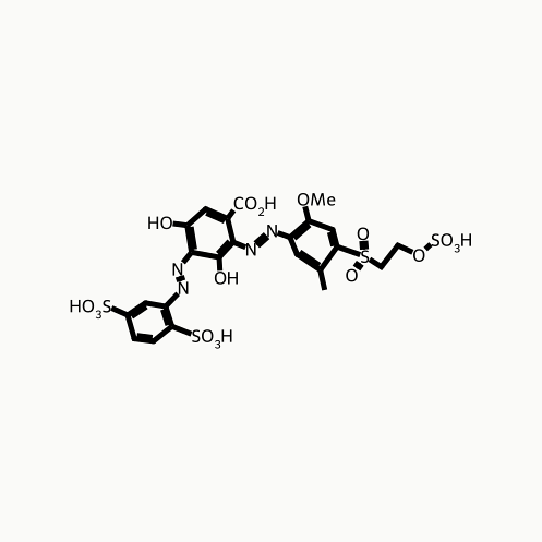 COc1cc(S(=O)(=O)CCOS(=O)(=O)O)c(C)cc1N=Nc1c(C(=O)O)cc(O)c(N=Nc2cc(S(=O)(=O)O)ccc2S(=O)(=O)O)c1O